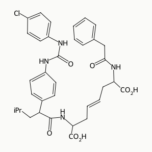 CC(C)CC(C(=O)NC(C/C=C/CC(NC(=O)Cc1ccccc1)C(=O)O)C(=O)O)c1ccc(NC(=O)Nc2ccc(Cl)cc2)cc1